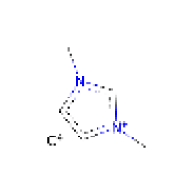 Cn1cc[n+](C)c1.[C+4]